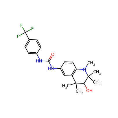 CN1c2ccc(NC(=O)Nc3ccc(C(F)(F)F)cc3)cc2C(C)(C)C(O)C1(C)C